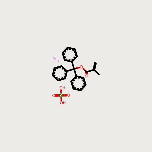 C=C(C)C(=O)OC(c1ccccc1)(c1ccccc1)c1ccccc1.O=S(=O)(O)O.P